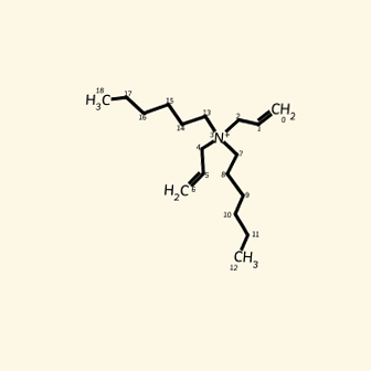 C=CC[N+](CC=C)(CCCCCC)CCCCCC